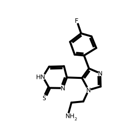 NCCn1cnc(-c2ccc(F)cc2)c1-c1cc[nH]c(=S)n1